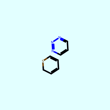 C1=CCSC=C1.c1cnnnc1